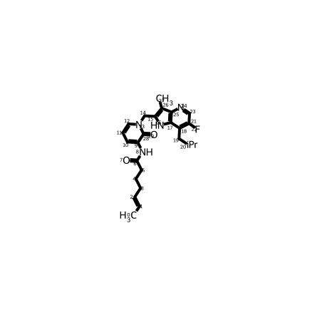 C/C=C/CCCC(=O)Nc1cccn(Cc2[nH]c3c(CC(C)C)c(F)cnc3c2C)c1=O